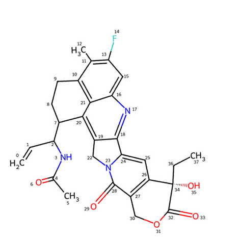 C=CC(NC(C)=O)C1CCc2c(C)c(F)cc3nc4c(c1c23)Cn1c-4cc2c(c1=O)COC(=O)[C@]2(O)CC